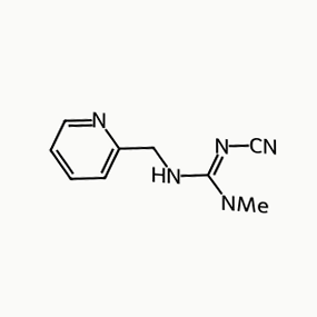 CNC(=NC#N)NCc1ccccn1